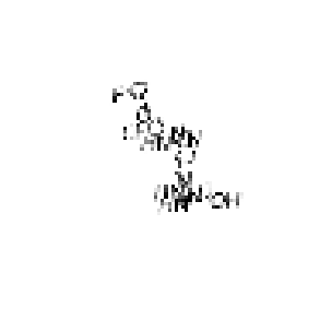 N=C(N/N=C/c1ccc2ncnc(Nc3ccc(OCc4cccc(F)c4)c(Cl)c3)c2c1)N1CCC(O)C1